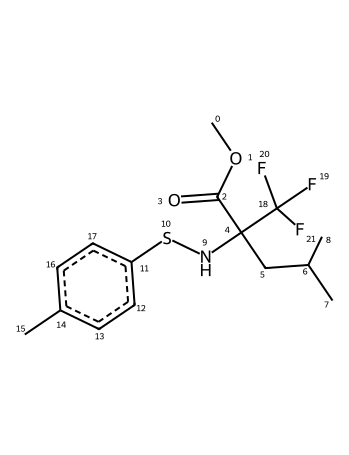 COC(=O)C(CC(C)C)(NSc1ccc(C)cc1)C(F)(F)F